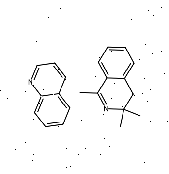 CC1=NC(C)(C)Cc2ccccc21.c1ccc2ncccc2c1